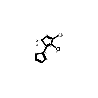 ClC1=CCC(C2=CC=CC2)=C1Cl.[Pt]